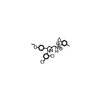 CCOc1ccc(C2CC(CNS(=O)(=O)c3cc(C)ccc3OC)=NN2c2ccc(Cl)cc2Cl)cc1